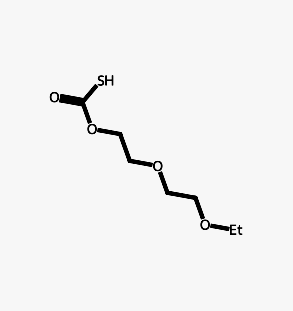 CCOCCOCCOC(=O)S